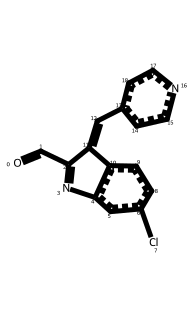 O=CC1=Nc2cc(Cl)ccc2/C1=C\c1ccncc1